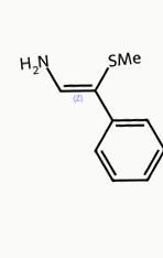 CS/C(=C\N)c1ccccc1